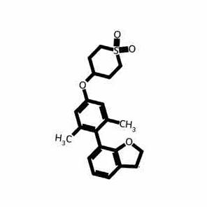 Cc1cc(OC2CCS(=O)(=O)CC2)cc(C)c1-c1cccc2c1OC[CH]2